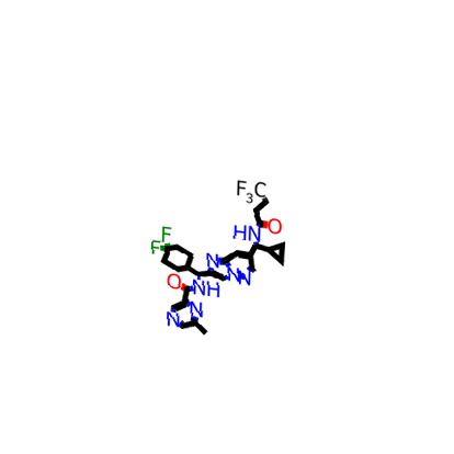 Cc1cncc(C(=O)N[C@H](c2cn3ncc(C(NC(=O)CCC(F)(F)F)C4CC4)cc3n2)C2CCC(F)(F)CC2)n1